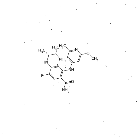 COc1cc(Nc2nc(N[C@H](C)[C@H](C)N)c(F)cc2C(N)=O)cc(C)n1